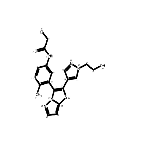 Cc1ncc(NC(=O)CCl)cc1-c1c(-c2cnn(CCO)c2)sc2ccnn12